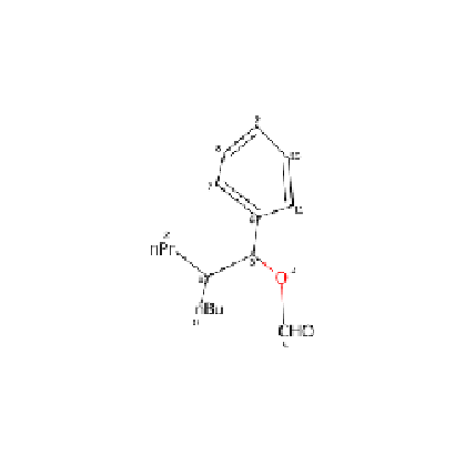 CCCCC(CCC)C(OC=O)c1ccccc1